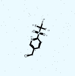 O=S(=O)(c1ccc(CCl)cn1)C(F)(F)F